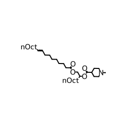 CCCCCCCCC=CCCCCCCCC(=O)OCC(CCCCCCCC)OC(=O)C1CCN(C)CC1